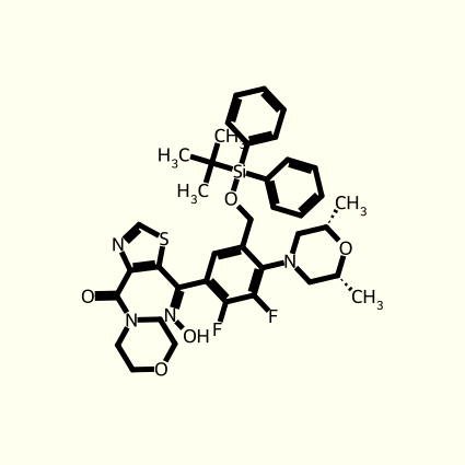 C[C@@H]1CN(c2c(CO[Si](c3ccccc3)(c3ccccc3)C(C)(C)C)cc(C(=NO)c3scnc3C(=O)N3CCOCC3)c(F)c2F)C[C@H](C)O1